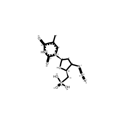 Cc1cn([C@H]2CC(N=[N+]=[N-])[C@@H](CP(=O)(O)O)O2)c(=O)[nH]c1=O